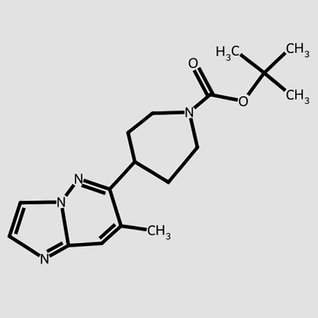 Cc1cc2nccn2nc1C1CCN(C(=O)OC(C)(C)C)CC1